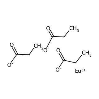 CCC(=O)[O-].CCC(=O)[O-].CCC(=O)[O-].[Eu+3]